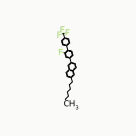 CCCCCCCc1ccc2cc(-c3ccc(-c4ccc(C(F)(F)F)cc4)c(F)c3)ccc2c1